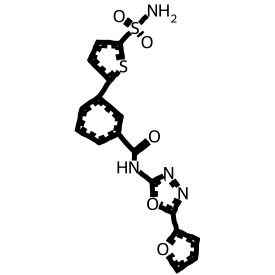 NS(=O)(=O)c1ccc(-c2cccc(C(=O)Nc3nnc(-c4ccco4)o3)c2)s1